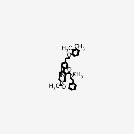 CC(=O)N1CC2CC(c3ccc(CCOc4cccc(C)c4C)cc3)=C(C(=O)N(C)CCc3ccccc3)C(C1)N2